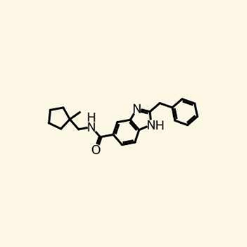 CC1(CNC(=O)c2ccc3[nH]c(Cc4ccccc4)nc3c2)CCCC1